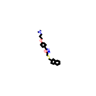 CN(C)CCCOc1ccc(-c2nnc(CSCc3ccc4ccccc4c3)o2)cc1